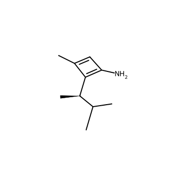 CC1=CC(N)=C1[C@H](C)C(C)C